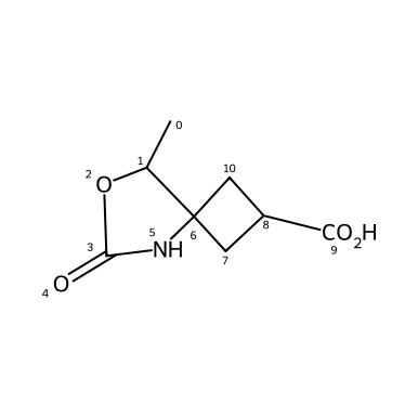 CC1OC(=O)NC12CC(C(=O)O)C2